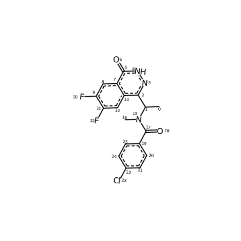 CC(c1n[nH]c(=O)c2cc(F)c(F)cc12)N(C)C(=O)c1ccc(Cl)cc1